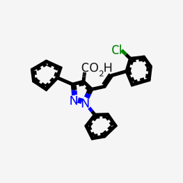 O=C(O)c1c(-c2ccccc2)nn(-c2ccccc2)c1C=Cc1ccccc1Cl